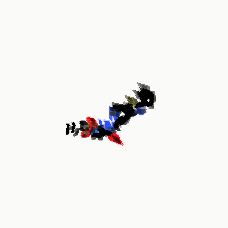 CS(=O)(=O)n1ccc(C(=O)NCc2cc3nc(-c4ccccc4)sc3cn2)c1